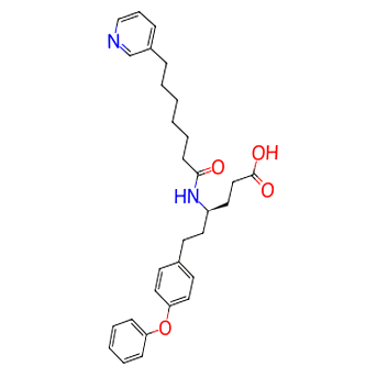 O=C(O)CC[C@@H](CCc1ccc(Oc2ccccc2)cc1)NC(=O)CCCCCCc1cccnc1